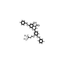 CC(C)CCOc1cc(C2=CC(C=O)c3c(O)cc(OCc4ccccc4)cc3O2)ccc1OCc1ccccc1